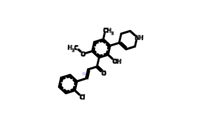 COc1cc(C)c(C2=CCNCC2)c(O)c1C(=O)/C=C/c1ccccc1Cl